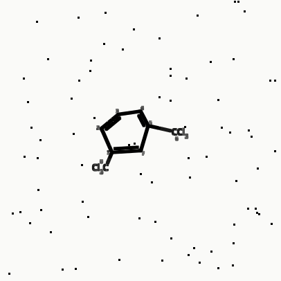 ClC(Cl)(Cl)c1[c]ccc(C(Cl)(Cl)Cl)c1